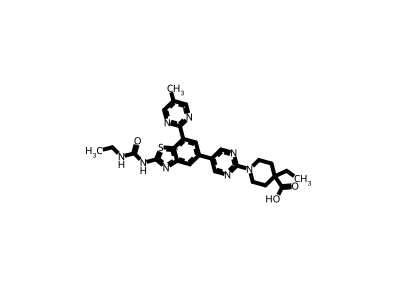 CCNC(=O)Nc1nc2cc(-c3cnc(N4CCC(CC)(C(=O)O)CC4)nc3)cc(-c3ncc(C)cn3)c2s1